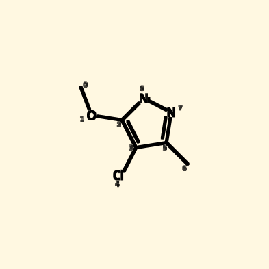 COC1=C(Cl)C(C)=N[N]1